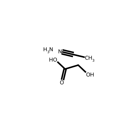 CC#N.N.O=C(O)CO